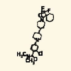 CN(C)C(=O)c1ccc(N2CCC(C3CCN(C(=O)C4(C(F)(F)F)CCCCC4)CC3)CC2)cc1Cl